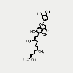 CC(C)=CCCC(C)=CCCC(C)=CCc1c(O)cc2c(c1O)C(=O)C[C@@H](c1ccc(O)c(O)c1)O2